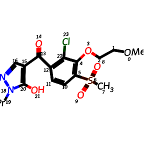 COCCOc1c(S(C)(=O)=O)ccc(C(=O)c2cnn(C(C)C)c2O)c1Cl